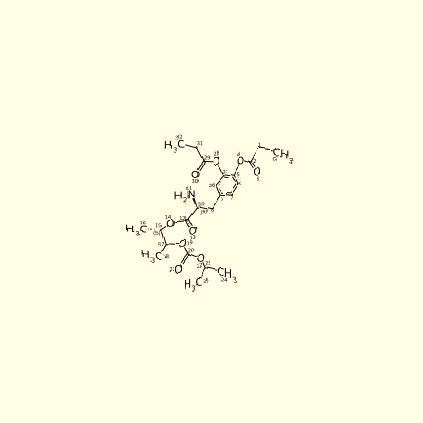 CCC(=O)Oc1ccc(C[C@H](N)C(=O)O[C@@H](C)C(C)OC(=O)OC(C)C)cc1OC(=O)CC